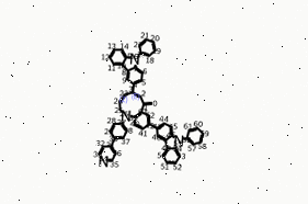 C=C1/C=C(c2ccc3c(c2)c2ccccc2n3-c2ccccc2)\C=C/CN(c2ccc(-c3ccncc3)cc2)c2ccc(-c3ccc4c(c3)c3ccccc3n4-c3ccccc3)cc21